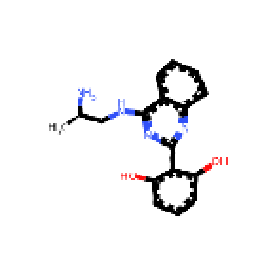 C[C@@H](N)CNc1nc(-c2c(O)cccc2O)nc2ccccc12